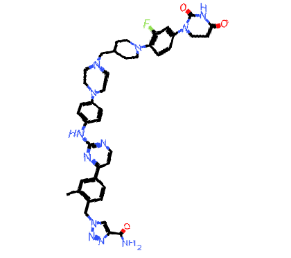 Cc1cc(-c2ccnc(Nc3ccc(N4CCN(CC5CCN(c6ccc(N7CCC(=O)NC7=O)cc6F)CC5)CC4)cc3)n2)ccc1Cn1cc(C(N)=O)nn1